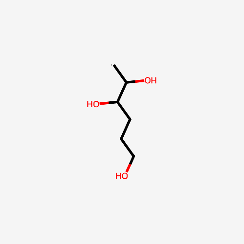 [CH2]C(O)C(O)CCCO